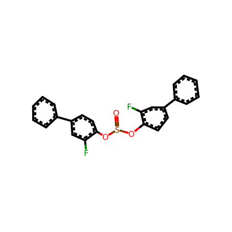 O=S(Oc1ccc(-c2ccccc2)cc1F)Oc1ccc(-c2ccccc2)cc1F